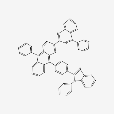 c1ccc(-c2nc(-c3ccc4c(-c5ccccc5)c5ccccc5c(-c5ccc(-c6nc7ccccc7n6-c6ccccc6)cc5)c4c3)nc3ccccc23)cc1